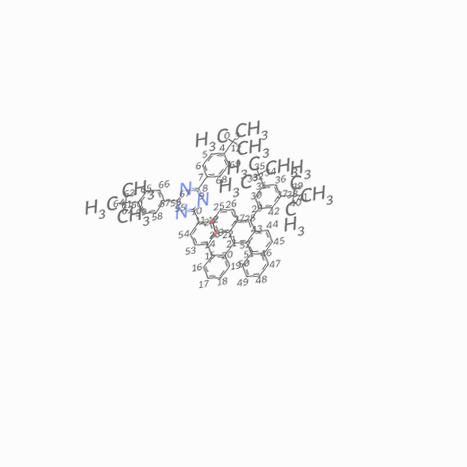 CC(C)(C)c1ccc(-c2nc(-c3ccc(-c4ccccc4-c4c5ccccc5c(-c5cc(C(C)(C)C)cc(C(C)(C)C)c5)c5ccc6ccccc6c45)cc3)nc(-c3ccc(C(C)(C)C)cc3)n2)cc1